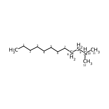 CCCCCCCC[SiH2][SiH2][SiH](C)C